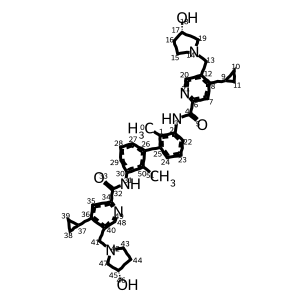 Cc1c(NC(=O)c2cc(C3CC3)c(CN3CC[C@H](O)C3)cn2)cccc1-c1cccc(NC(=O)c2cc(C3CC3)c(CN3CC[C@H](O)C3)cn2)c1C